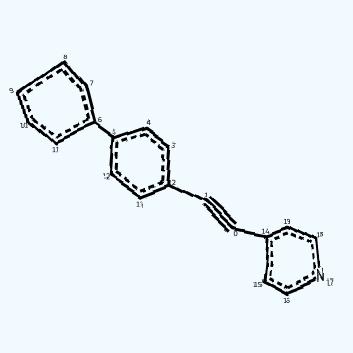 C(#Cc1ccc(-c2ccccc2)cc1)c1ccncc1